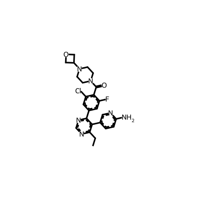 CCc1ncnc(-c2cc(F)c(C(=O)N3CCN(C4COC4)CC3)c(Cl)c2)c1-c1ccc(N)nc1